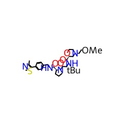 COCCN1CCO[C@H](C(=O)N[C@H](C(=O)N2CCC[C@H]2C(=O)NCc2ccc(-c3scnc3C)cc2)C(C)(C)C)C1